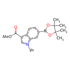 COC(=O)c1cn(C(C)C)c2cc(B3OC(C)(C)C(C)(C)O3)ccc12